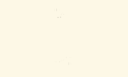 COC(=O)CCCCCCCCCC[Si](C)(C)O